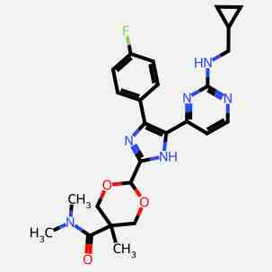 CN(C)C(=O)C1(C)COC(c2nc(-c3ccc(F)cc3)c(-c3ccnc(NCC4CC4)n3)[nH]2)OC1